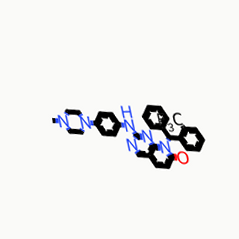 CN1CCN(c2ccc(Nc3ncc4ccc(=O)n(C(c5ccccc5)c5ccccc5C(F)(F)F)c4n3)cc2)CC1